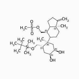 C=C1CCC2[C@H](COS(C)(=O)=O)C([C@@]3(C)C[C@@H](O)[C@@H](O)C[C@@H]3CO[Si](C)(C)C(C)(C)C)CC[C@]12C